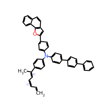 C=C/C=C\C=C(/C)c1ccc(N(c2ccc(-c3ccc(-c4ccccc4)cc3)cc2)c2ccc(-c3cc4ccc5ccccc5c4o3)cc2)cc1